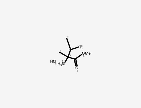 COC(=O)C(C)([SiH3])C(C)Cl.Cl